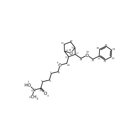 CN(O)C(=O)CCCCOCC1C2CCC(O2)C1COCc1ccccc1